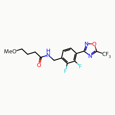 COCCCC(=O)NCc1ccc(-c2noc(C(F)(F)F)n2)c(F)c1F